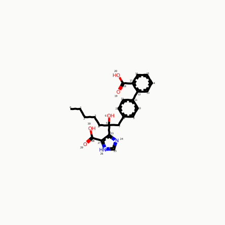 CCCCCC(O)(Cc1ccc(-c2ccccc2C(=O)O)cc1)c1nc[nH]c1C(=O)O